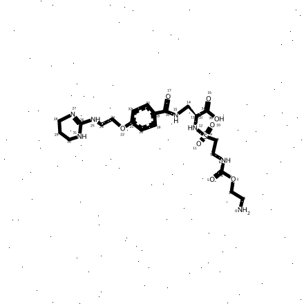 NCCOC(=O)NCCS(=O)(=O)N[C@@H](CNC(=O)c1ccc(OCCNC2=NCCCN2)cc1)C(=O)O